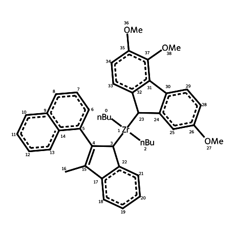 CCC[CH2][Zr]([CH2]CCC)([CH]1C(c2cccc3ccccc23)=C(C)c2ccccc21)[CH]1c2cc(OC)ccc2-c2c1ccc(OC)c2OC